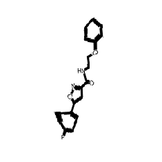 O=C(NCCOc1ccccc1)c1cc(-c2ccc(F)cc2)on1